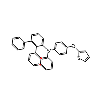 c1ccc(-c2cccc([S+](c3ccccc3)c3ccc(Oc4cccs4)cc3)c2-c2ccccc2)cc1